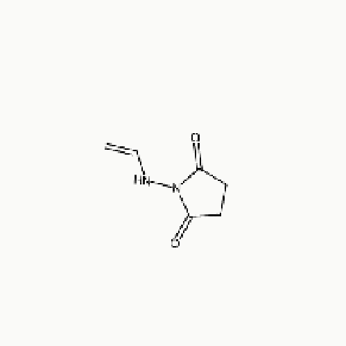 C=CNN1C(=O)CCC1=O